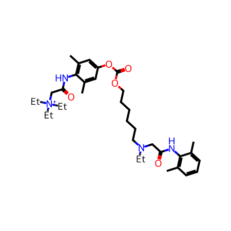 CCN(CCCCCCOC(=O)Oc1cc(C)c(NC(=O)C[N+](CC)(CC)CC)c(C)c1)CC(=O)Nc1c(C)cccc1C